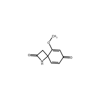 COC1=CC(=O)C=CC12CC(=O)N2